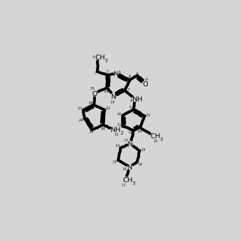 CCc1nc(C=O)c(Nc2ccc(N3CCN(C)CC3)c(C)c2)nc1Oc1cccc(N)c1